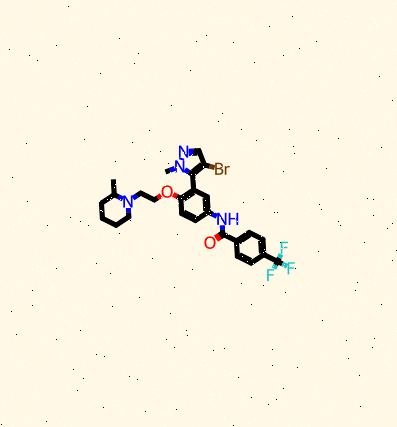 CC1CCCCN1CCOc1ccc(NC(=O)c2ccc(C(F)(F)F)cc2)cc1-c1c(Br)cnn1C